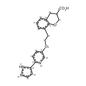 O=C(O)C1COc2c(CCOc3ccc(-c4ccn[nH]4)nc3)cccc2C1